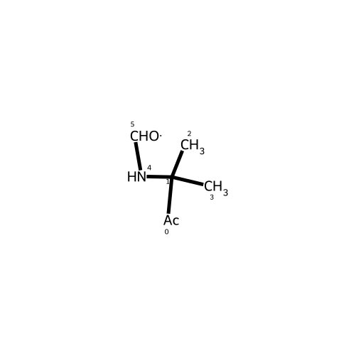 CC(=O)C(C)(C)N[C]=O